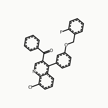 O=C(c1ccccc1)c1cnc2c(Cl)cccc2c1-c1cccc(OCc2ccccc2F)c1